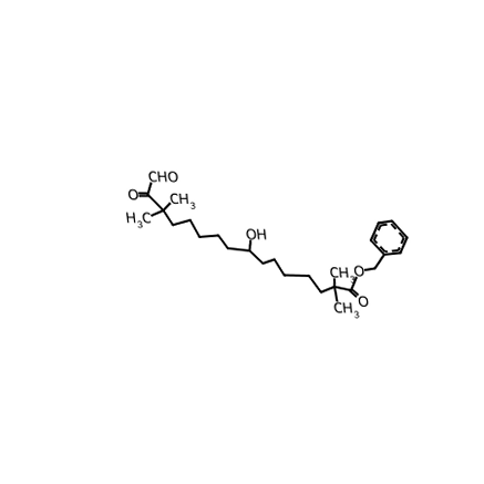 CC(C)(CCCCCC(O)CCCCCC(C)(C)C(=O)OCc1ccccc1)C(=O)C=O